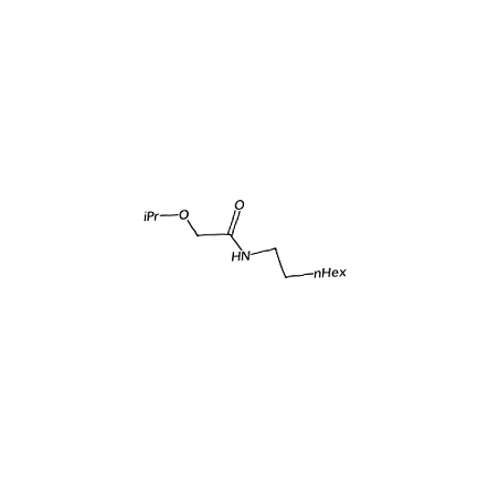 CCCCCCCCNC(=O)COC(C)C